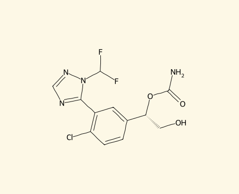 NC(=O)O[C@H](CO)c1ccc(Cl)c(-c2ncnn2C(F)F)c1